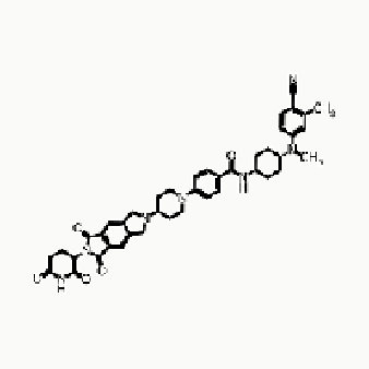 Cc1cc(N(C)[C@H]2CC[C@H](NC(=O)c3ccc(N4CCC(N5Cc6cc7c(cc6C5)C(=O)N(C5CCC(=O)NC5=O)C7=O)CC4)cc3)CC2)ccc1C#N